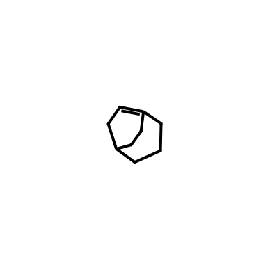 C1=C2CCCC(C1)CC2